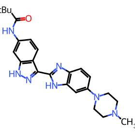 CN1CCN(c2ccc3nc(-c4n[nH]c5cc(NC(=O)C(C)(C)C)ccc45)[nH]c3c2)CC1